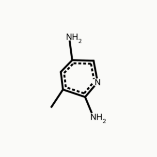 Cc1cc(N)cnc1N